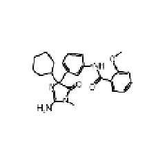 COc1ccccc1C(=O)Nc1cccc(C2(C3CCCCC3)N=C(N)N(C)C2=O)c1